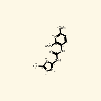 COc1ccc(NC(=O)Nc2nnc(C(F)(F)F)s2)c(SC)n1